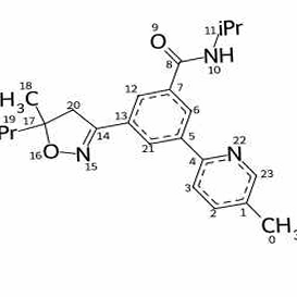 Cc1ccc(-c2cc(C(=O)NC(C)C)cc(C3=NOC(C)(C(C)C)C3)c2)nc1